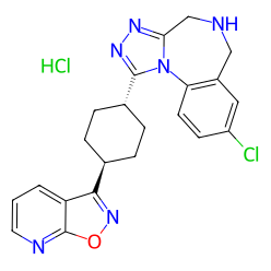 Cl.Clc1ccc2c(c1)CNCc1nnc([C@H]3CC[C@H](c4noc5ncccc54)CC3)n1-2